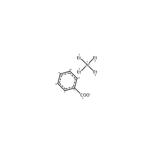 CC[N+](CC)(CC)CC.O=C([O-])c1ccccc1